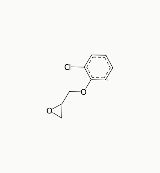 Clc1ccc[c]c1OCC1CO1